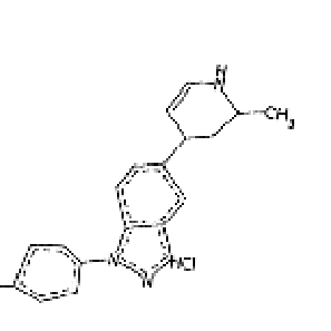 CC1CC(c2ccc3c(cnn3-c3ccc(F)cc3)c2)C=CN1.Cl